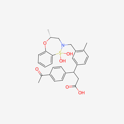 CC(=O)c1ccc(C(CC(=O)O)c2ccc(C)c(CN3C[C@@H](C)Oc4ccccc4S3(O)O)c2)cc1